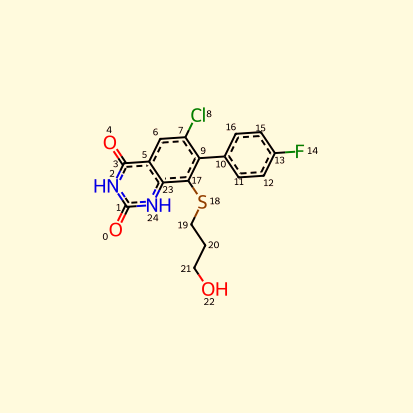 O=c1[nH]c(=O)c2cc(Cl)c(-c3ccc(F)cc3)c(SCCCO)c2[nH]1